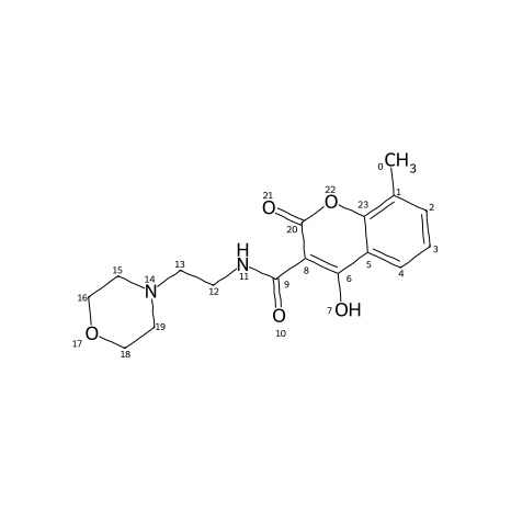 Cc1cccc2c(O)c(C(=O)NCCN3CCOCC3)c(=O)oc12